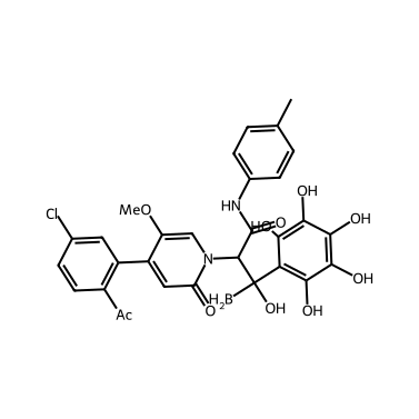 BC(O)(c1c(O)c(O)c(O)c(O)c1O)C(C(=O)Nc1ccc(C)cc1)n1cc(OC)c(-c2cc(Cl)ccc2C(C)=O)cc1=O